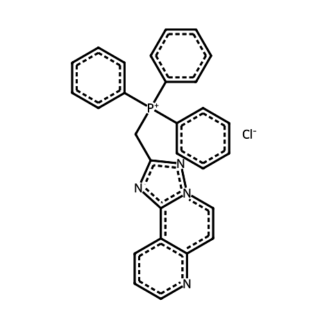 [Cl-].c1ccc([P+](Cc2nc3c4cccnc4ccn3n2)(c2ccccc2)c2ccccc2)cc1